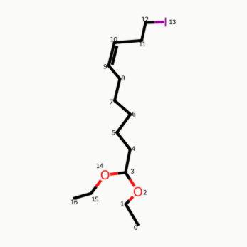 CCOC(CCCCC/C=C\CCI)OCC